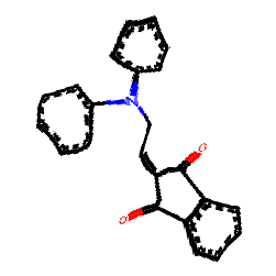 O=C1C(=CCN(c2ccccc2)c2ccccc2)C(=O)c2ccccc21